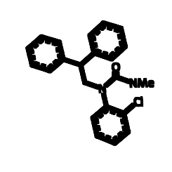 CNC(=O)N(CC(c1ccccc1)c1ccccc1)c1ccccc1Cl